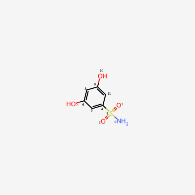 NS(=O)(=O)c1cc(O)cc(O)c1